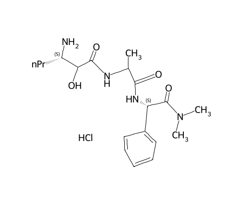 CCC[C@H](N)C(O)C(=O)NC(C)C(=O)N[C@H](C(=O)N(C)C)c1ccccc1.Cl